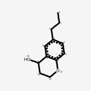 CCCc1ccc2c(c1)C(O)CCO2